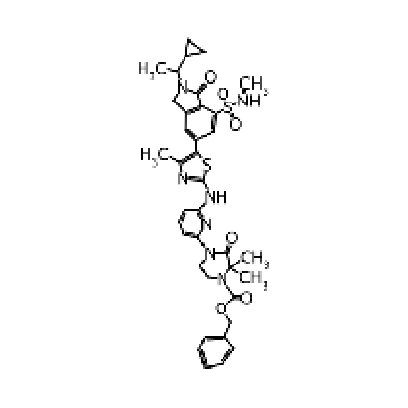 CNS(=O)(=O)c1cc(-c2sc(Nc3cccc(N4CCN(C(=O)OCc5ccccc5)C(C)(C)C4=O)n3)nc2C)cc2c1C(=O)N(C(C)C1CC1)C2